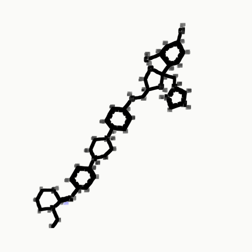 CCN1CCCS/C1=N\c1ccc(N2CCN(c3ccc(OCC4COC(Cn5cncn5)(c5ccc(Cl)cc5Cl)O4)cc3)CC2)cc1